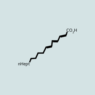 CCCCCCCCCCCC=CC=CC=CC(=O)O